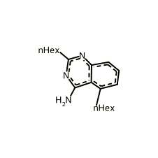 CCCCCCc1nc(N)c2c(CCCCCC)cccc2n1